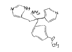 COc1cccc(C(N)(Cc2cnc[nH]2)c2ccncc2)c1